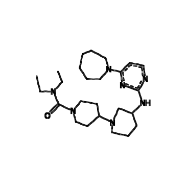 CCN(CC)C(=O)N1CCC(N2CCCC(Nc3nccc(N4CCCCCC4)n3)C2)CC1